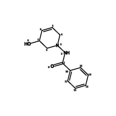 O=C(NN1CC=CC(O)C1)c1ccccc1